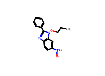 CCCOn1c(-c2ccccc2)nc2ccc([N+](=O)[O-])cc21